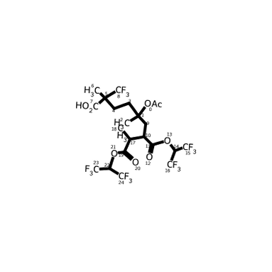 CC(=O)OC(C)(CCC(C)(C(=O)O)C(F)(F)F)CC(C(=O)OC(C(F)(F)F)C(F)(F)F)C(C)C(=O)OC(C(F)(F)F)C(F)(F)F